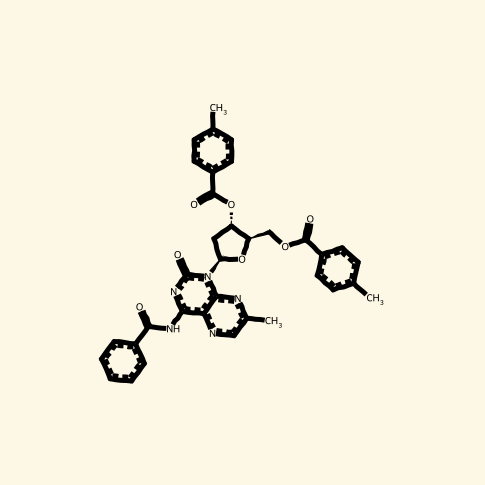 Cc1ccc(C(=O)OC[C@H]2O[C@@H](n3c(=O)nc(NC(=O)c4ccccc4)c4ncc(C)nc43)C[C@@H]2OC(=O)c2ccc(C)cc2)cc1